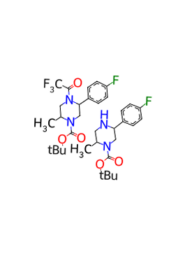 CC1CN(C(=O)C(F)(F)F)C(c2ccc(F)cc2)CN1C(=O)OC(C)(C)C.CC1CNC(c2ccc(F)cc2)CN1C(=O)OC(C)(C)C